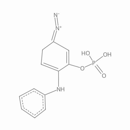 [N-]=[N+]=C1C=C(OP(=O)(O)O)C(Nc2ccccc2)=CC1